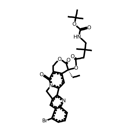 CC[C@@]1(OC(=O)CC(C)(C)CNC(=O)OC(C)(C)C)C(=O)OCc2c1cc1n(c2=O)Cc2cc3c(Br)cccc3nc2-1